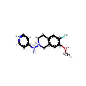 COc1cc2c(cc1F)CCN(Nc1ccncc1)C2